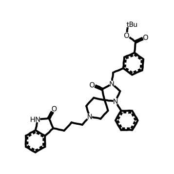 CC(C)(C)OC(=O)c1cccc(CN2CN(c3ccccc3)C3(CCN(CCCC4C(=O)Nc5ccccc54)CC3)C2=O)c1